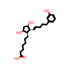 O=C(O)CCCCCC[C@@H]1[C@@H](C=CCCCc2cccc(O)c2)[C@H](O)C[C@@H]1O